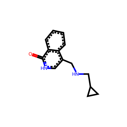 O=c1[nH]cc(CNCC2CC2)c2ccccc12